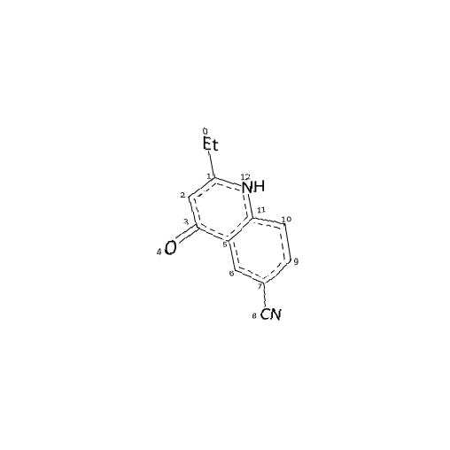 CCc1cc(=O)c2cc(C#N)ccc2[nH]1